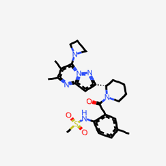 Cc1ccc(NS(C)(=O)=O)c(C(=O)N2CCCC[C@H]2c2cc3nc(C)c(C)c(N4CCC4)n3n2)c1